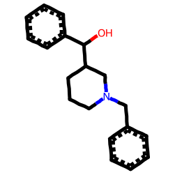 OC(c1ccccc1)C1CCCN(Cc2ccccc2)C1